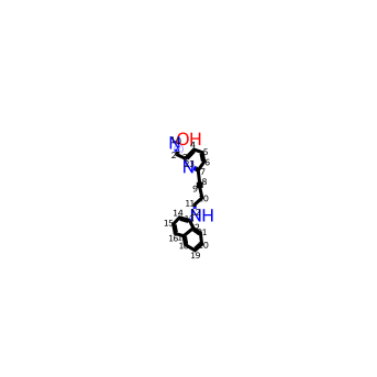 O/N=C\c1cccc(C#CCCNc2cccc3ccccc23)n1